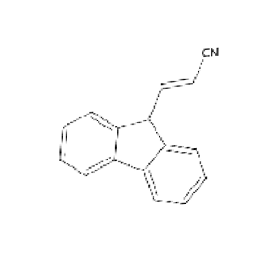 N#CC=CC1c2ccccc2-c2ccccc21